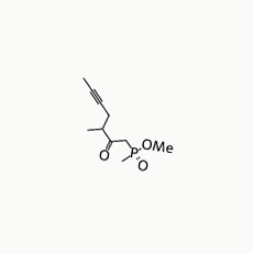 CC#CCC(C)C(=O)CP(C)(=O)OC